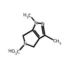 Cc1nn(C)c2c1CN(C(=O)O)C2